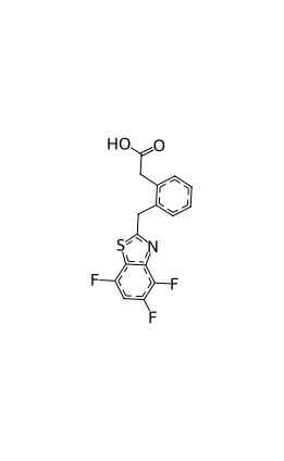 O=C(O)Cc1ccccc1Cc1nc2c(F)c(F)cc(F)c2s1